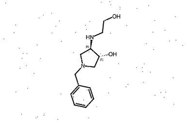 OCCN[C@@H]1CN(Cc2ccccc2)C[C@H]1O